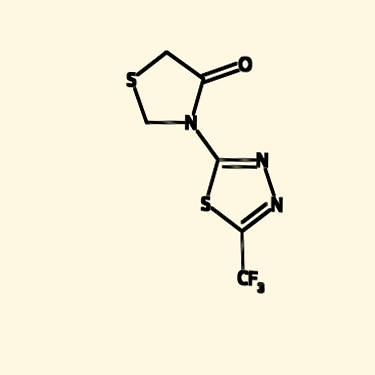 O=C1CSCN1c1nnc(C(F)(F)F)s1